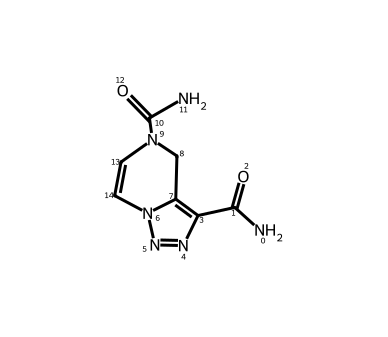 NC(=O)c1nnn2c1CN(C(N)=O)C=C2